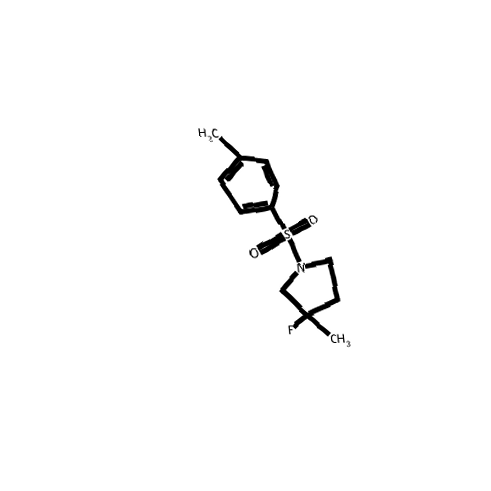 Cc1ccc(S(=O)(=O)N2CCC(C)(F)C2)cc1